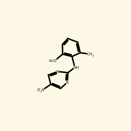 CC(=O)Oc1cccc(C)c1Nc1ncc([N+](=O)[O-])cn1